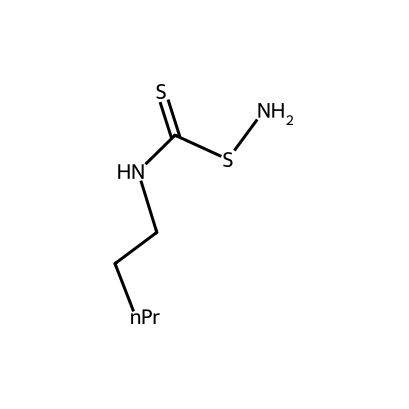 [CH2]CCCCNC(=S)SN